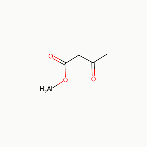 CC(=O)CC(=O)[O][AlH2]